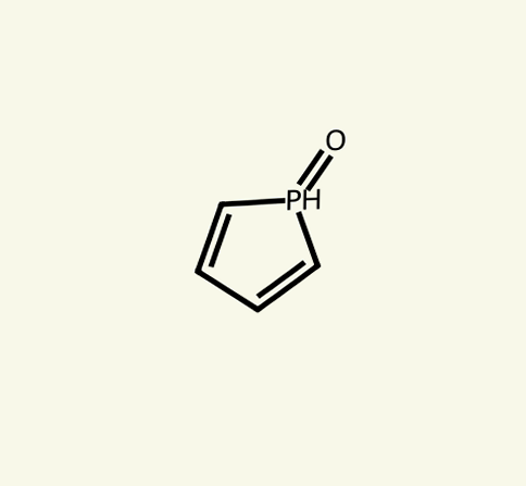 O=[PH]1C=CC=C1